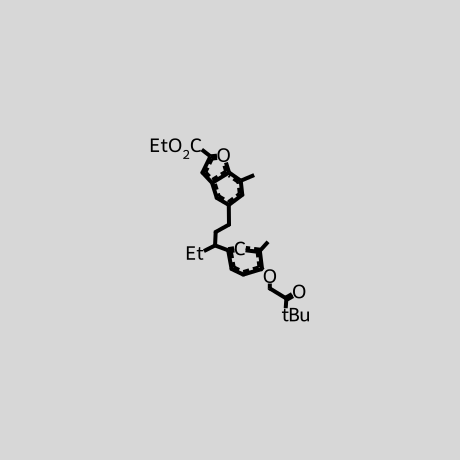 CCOC(=O)c1cc2cc(CCC(CC)c3ccc(OCC(=O)C(C)(C)C)c(C)c3)cc(C)c2o1